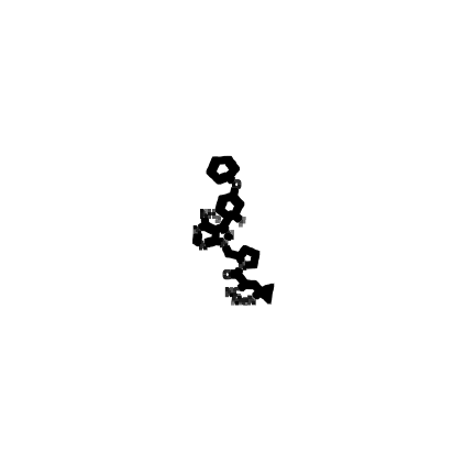 CNC1(C=C(C#N)C(=O)N2CCCC2Cn2nc(-c3ccc(Oc4ccccc4)cc3F)c3c(N)ncnc32)CC1